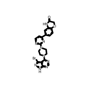 O=C1COc2ccc(-c3ccnc(N4CCN(c5ncnc6[nH]nc(Br)c56)CC4)n3)cc2N1